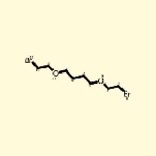 BrCCOCCCCOCCBr